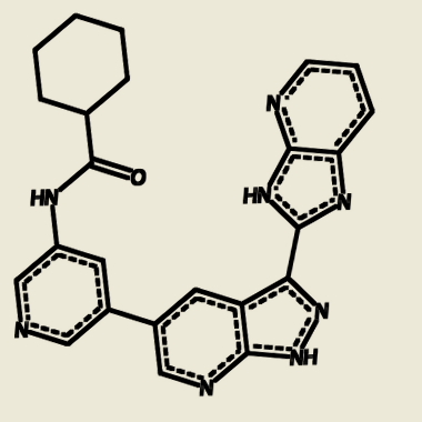 O=C(Nc1cncc(-c2cnc3[nH]nc(-c4nc5cccnc5[nH]4)c3c2)c1)C1CCCCC1